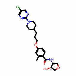 Cc1cc(OCCCC2CCN(c3ncc(Cl)cn3)CC2)ccc1C(=O)N[C@@H]1COC[C@H]1O